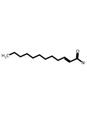 CCCCCCCCCC=CC([N])=O